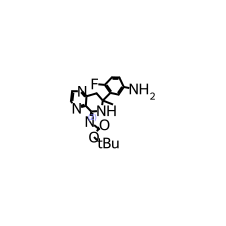 CC(C)(C)OC(=O)/N=C1\NC(C)(c2cc(N)ccc2F)Cc2nccnc21